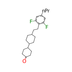 CCCc1cc(F)c(CCC2CCC(C3CCC(=O)CC3)CC2)c(F)c1